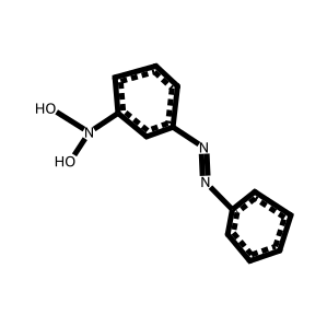 ON(O)c1cccc(N=Nc2ccccc2)c1